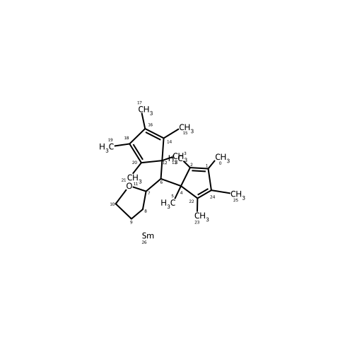 CC1=C(C)C(C)(C(C2CCCO2)C2(C)C(C)=C(C)C(C)=C2C)C(C)=C1C.[Sm]